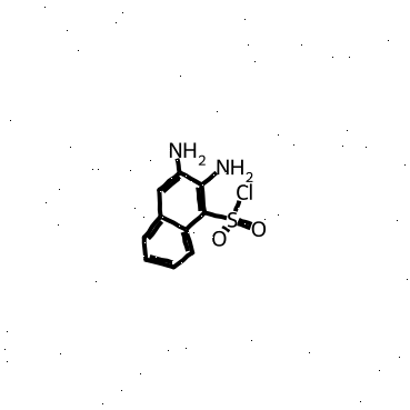 Nc1cc2ccccc2c(S(=O)(=O)Cl)c1N